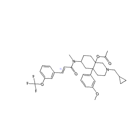 COc1cccc(C23CCN(CC4CC4)CC2(OC(C)=O)CCC(N(C)C(=O)/C=C/c2cccc(OC(F)(F)F)c2)C3)c1